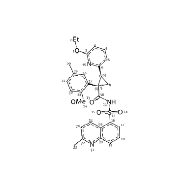 CCOc1cccc([C@H]2C[C@@]2(C(=O)NS(=O)(=O)c2cccc3nc(C)ccc23)c2cc(C)ccc2OC)n1